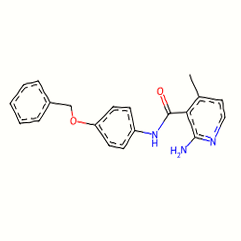 Cc1ccnc(N)c1C(=O)Nc1ccc(OCc2ccccc2)cc1